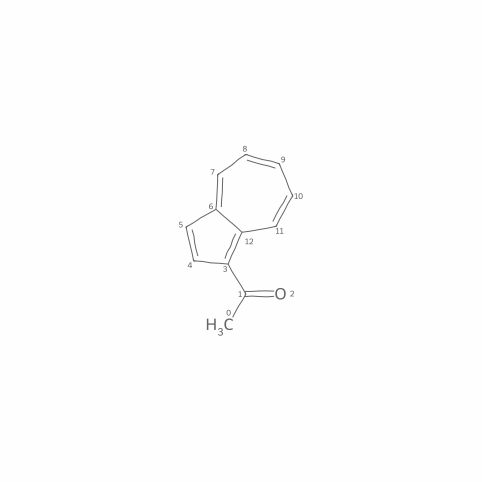 CC(=O)c1ccc2cccccc1-2